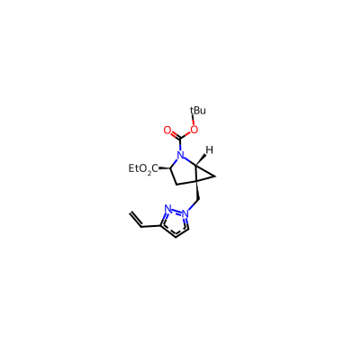 C=Cc1ccn(C[C@@]23C[C@@H](C(=O)OCC)N(C(=O)OC(C)(C)C)[C@@H]2C3)n1